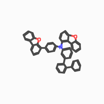 c1ccc(-c2ccccc2-c2cccc(N(c3ccc(-c4cccc5c4oc4ccccc45)cc3)c3cccc4oc5ccccc5c34)c2)cc1